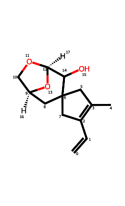 C=CC1=C(C)CC2(C1)C[C@H]1CO[C@H](O1)C2O